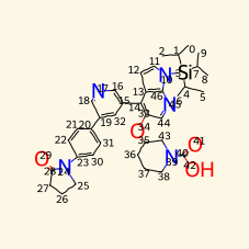 CC(C)[Si](C(C)C)(C(C)C)n1ccc2c(-c3cncc(-c4ccc(N5CCCC5=O)cc4)c3)c(OC3CCCN(C(=O)O)C3)cnc21